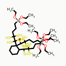 CCO[Si](CCCC(S)(S)C(S)(S)C1CCCCC1(C(S)(S)C(S)(S)CCC[Si](OCC)(OCC)OCC)C(S)(S)C(S)(S)CCC[Si](OCC)(OCC)OCC)(OCC)OCC